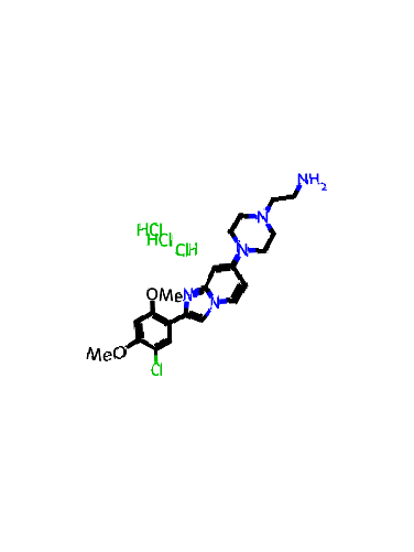 COc1cc(OC)c(-c2cn3ccc(N4CCN(CCN)CC4)cc3n2)cc1Cl.Cl.Cl.Cl